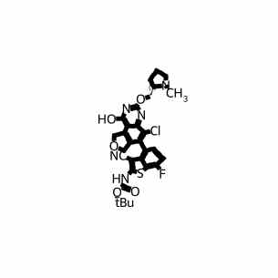 CN1CCC[C@H]1COc1nc(O)c2c3c(c(-c4ccc(F)c5sc(NC(=O)OC(C)(C)C)c(C#N)c45)c(Cl)c2n1)COC3